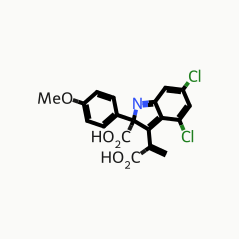 C=C(C(=O)O)C1=c2c(Cl)cc(Cl)cc2=NC1(C(=O)O)c1ccc(OC)cc1